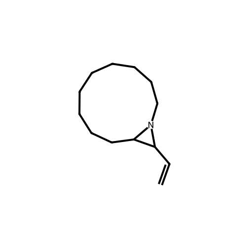 C=CC1C2CCCCCCCCCN12